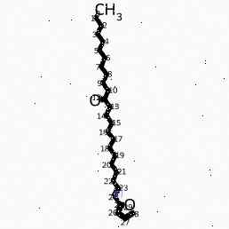 CCCCCCCCCCCC(=O)CCCCCCCCCC/C=C/c1ccco1